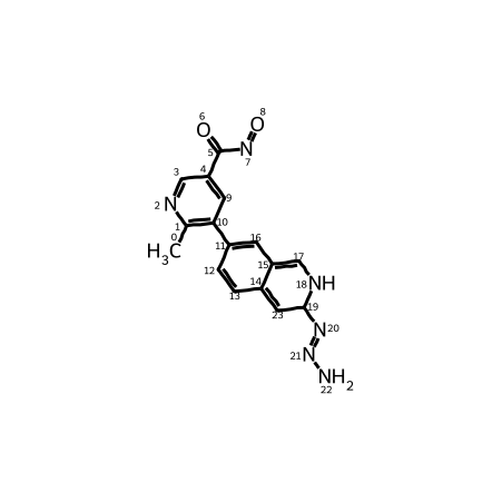 Cc1ncc(C(=O)N=O)cc1-c1ccc2c(c1)=CNC(N=NN)C=2